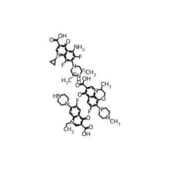 CC1COc2c(N3CCN(C)CC3)c(F)cc3c(=O)c(C(=O)O)cn1c23.CCn1cc(C(=O)O)c(=O)c2cc(F)c(N3CCNCC3)cc21.C[C@@H]1CN(c2c(F)c(N)c3c(=O)c(C(=O)O)cn(C4CC4)c3c2F)C[C@H](C)N1